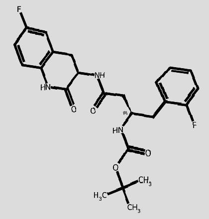 CC(C)(C)OC(=O)N[C@@H](CC(=O)NC1Cc2cc(F)ccc2NC1=O)Cc1ccccc1F